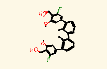 COc1cc(-c2cccc(-c3cccc(-c4cc(F)c(CO)c(OC)c4)c3C)c2C)cc(F)c1CO